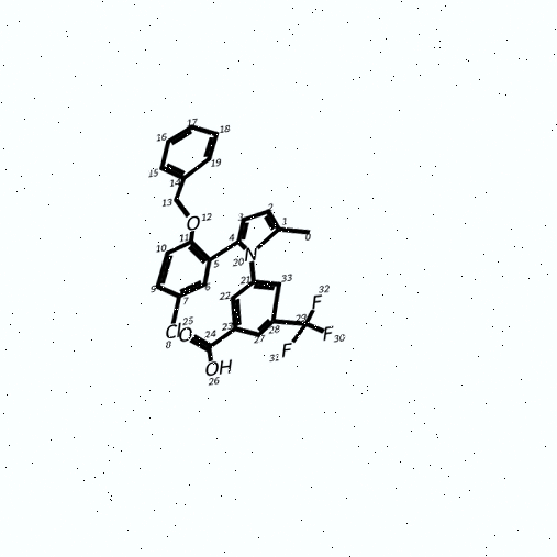 Cc1ccc(-c2cc(Cl)ccc2OCc2ccccc2)n1-c1cc(C(=O)O)cc(C(F)(F)F)c1